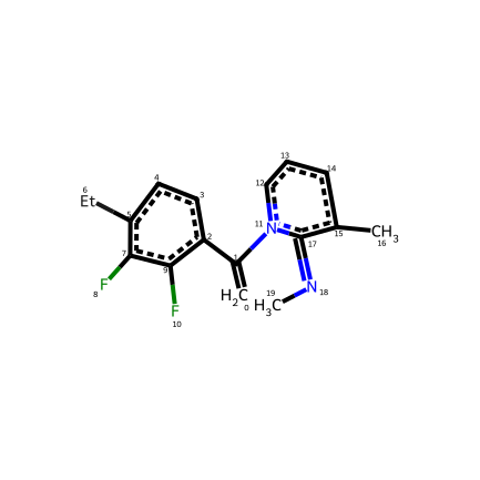 C=C(c1ccc(CC)c(F)c1F)n1cccc(C)/c1=N/C